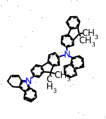 CC1(C)c2ccccc2-c2ccc(N(c3ccc4c(c3)C(C)(C)c3cc(-n5c6c(c7c#cccc75)CCC=C6)ccc3-4)c3cccc4ccccc34)cc21